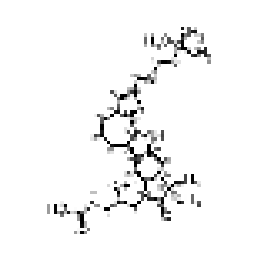 CC(=O)NCC(O)CN1C(=O)C(C)(C)c2cc3[nH]c4c(c3cc21)CCCc1cn(COCC[Si](C)(C)C)nc1-4